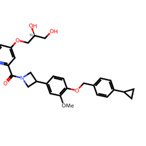 COc1cc(C2CN(C(=O)c3cc(OC[C@@H](O)CO)ccn3)C2)ccc1OCc1ccc(C2CC2)cc1